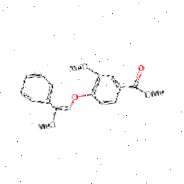 COC(=O)c1ccc(O/C=C(/OC)c2ccccc2)c(OC)c1